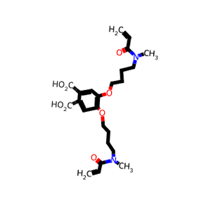 C=CC(=O)N(C)CCCCOc1cc(C(=O)O)c(C(=O)O)cc1OCCCCN(C)C(=O)C=C